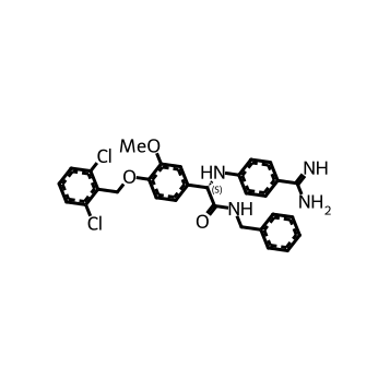 COc1cc([C@H](Nc2ccc(C(=N)N)cc2)C(=O)NCc2ccccc2)ccc1OCc1c(Cl)cccc1Cl